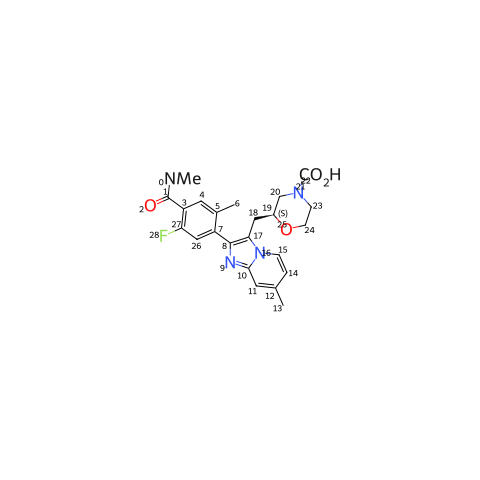 CNC(=O)c1cc(C)c(-c2nc3cc(C)ccn3c2C[C@H]2CN(C(=O)O)CCO2)cc1F